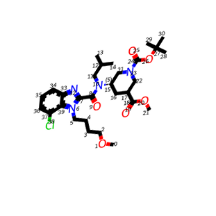 COCCCCn1c(C(=O)N(CC(C)C)[C@H]2CC(C(=O)OC)CN(C(=O)OC(C)(C)C)C2)nc2cccc(Cl)c21